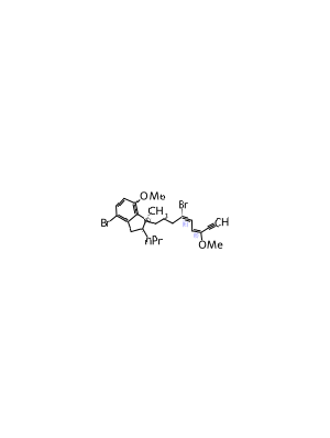 C#C/C(=C\C=C(\Br)CCC[C@]1(C)c2c(OC)ccc(Br)c2CC1CCC)OC